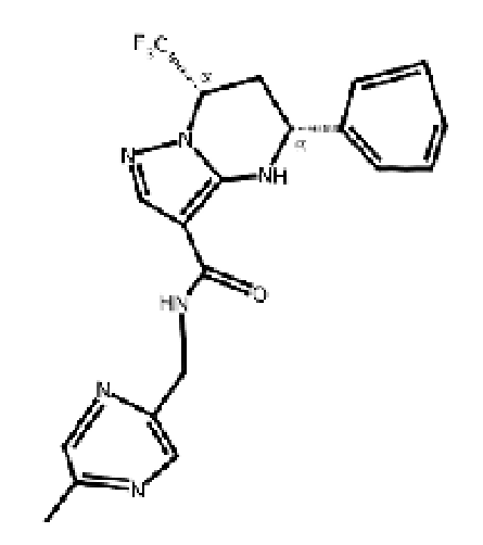 Cc1cnc(CNC(=O)c2cnn3c2N[C@@H](c2ccccc2)C[C@H]3C(F)(F)F)cn1